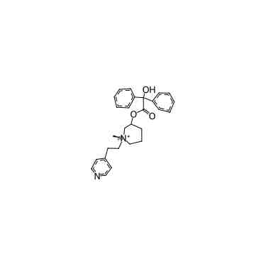 C[N@+]1(CCc2ccncc2)CCCC(OC(=O)C(O)(c2ccccc2)c2ccccc2)C1